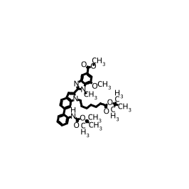 COC(=O)c1cc(OC)c2c(c1)nc(-c1cc3ccc(-c4ccccc4NC(=O)OC(C)(C)C)cc3n1CCCCCCC(=O)OC(C)(C)C)n2C